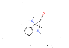 CN(C)C1(C)C(=C=O)C1(c1ccccc1)N(C)C